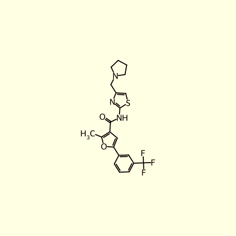 Cc1oc(-c2cccc(C(F)(F)F)c2)cc1C(=O)Nc1nc(CN2CCCC2)cs1